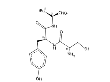 CC[C@H](C)[C@@H]([C]=O)NC(=O)[C@H](Cc1ccc(O)cc1)NC(=O)[C@@H](N)CS